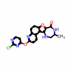 CC1CNc2c(oc3ccc4nc(Oc5ccnc(Cl)n5)ccc4c23)C(=O)N1